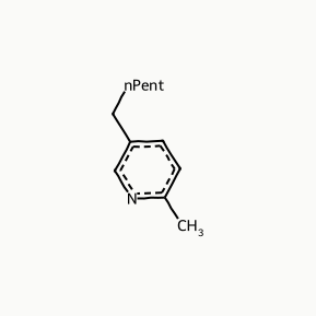 CCCCCCc1ccc(C)nc1